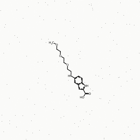 COCCOCCOCCNc1ccc2[nH]c(C(=O)O)cc2c1